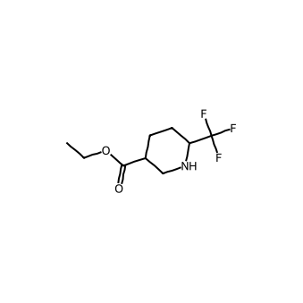 CCOC(=O)C1CCC(C(F)(F)F)NC1